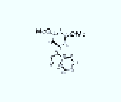 COc1cc(OC)cc(C2=C[CH]c3ccccc32)c1